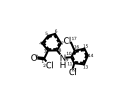 O=C(Cl)c1ccccc1Nc1c(Cl)cccc1Cl